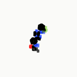 CC(=O)Nc1cccc(-c2cnc3c(Nc4ccccc4C(F)(F)F)nccn23)c1